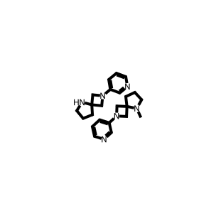 CN1CCCC12CN(c1cccnc1)C2.c1cncc(N2CC3(CCCN3)C2)c1